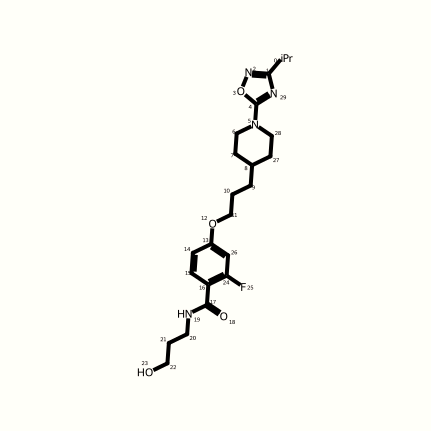 CC(C)c1noc(N2CCC(CCCOc3ccc(C(=O)NCCCO)c(F)c3)CC2)n1